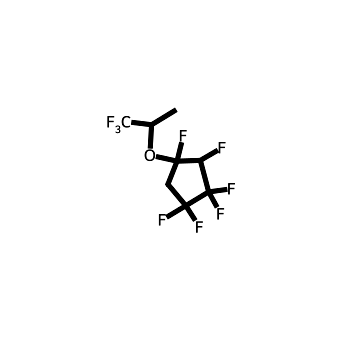 CC(OC1(F)CC(F)(F)C(F)(F)C1F)C(F)(F)F